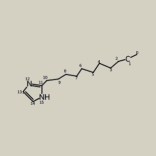 CCCCCCCCCCCc1n[c]c[nH]1